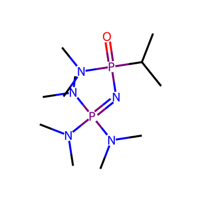 CC(C)P(=O)(N=P(N(C)C)(N(C)C)N(C)C)N(C)C